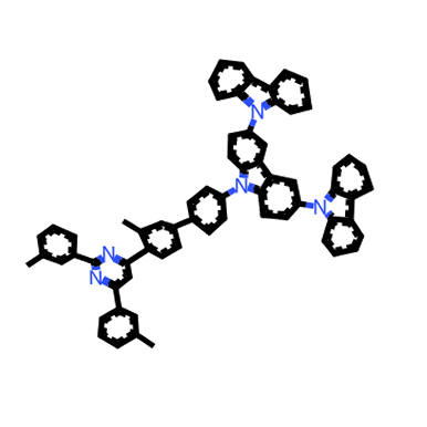 Cc1cccc(-c2cc(-c3ccc(-c4ccc(-n5c6ccc(-n7c8ccccc8c8ccccc87)cc6c6cc(-n7c8ccccc8c8ccccc87)ccc65)cc4)cc3C)nc(-c3cccc(C)c3)n2)c1